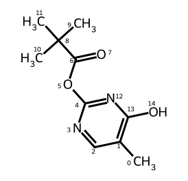 Cc1cnc(OC(=O)C(C)(C)C)nc1O